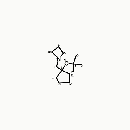 CC(C)(C)OC1(CN2CCC2)CCCC1